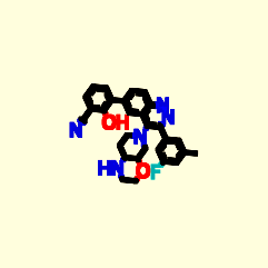 Cc1cc(F)cc(-c2nnc3ccc(-c4cccc(C#N)c4O)cc3c2N2CCC3NCCOC3C2)c1